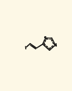 I/C=C/c1cncs1